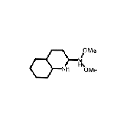 CO[SiH](OC)C1CCC2CCCCC2N1